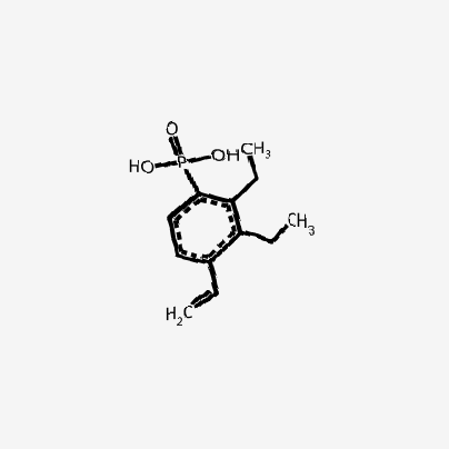 C=Cc1ccc(P(=O)(O)O)c(CC)c1CC